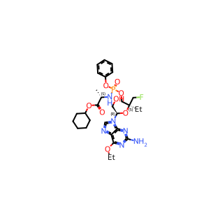 CCOc1nc(N)nc2c1ncn2[C@@H](CO)O[C@](CC)(CF)COP(=O)(N[C@@H](C)C(=O)OC1CCCCC1)Oc1ccccc1